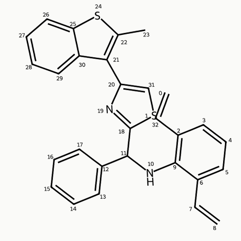 C=Cc1cccc(C=C)c1NC(c1ccccc1)c1nc(-c2c(C)sc3ccccc23)cs1